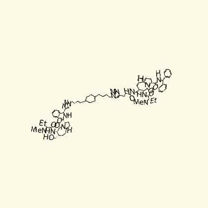 CC[C@H](NC)C(=O)N[C@@H]1C(=O)N2[C@@H](CC[C@@H]1CNC(=O)CCc1cn(CCCCC3CCC(CCCCn4cc([C@@H](NC(=O)[C@@H]5CC[C@@H]6CC[C@H](CO)[C@H](NC(=O)[C@H](CC)NC)C(=O)N65)c5ccccc5)nn4)CC3)nn1)CC[C@H]2C(=O)NC(c1ccccc1)c1ccccc1